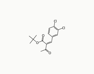 CC(=O)C(=Cc1ccc(Cl)c(Cl)c1)C(=O)OC(C)(C)C